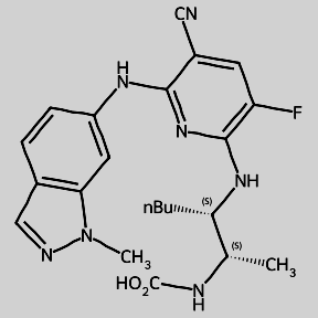 CCCC[C@H](Nc1nc(Nc2ccc3cnn(C)c3c2)c(C#N)cc1F)[C@H](C)NC(=O)O